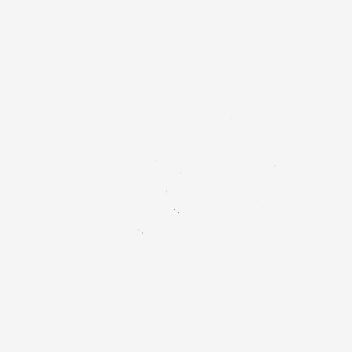 Cc1c(C)c2c(c(C)c1O)C(CN1CCN(Cc3ccccc3)CC1)C(C)(C)O2